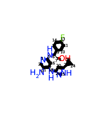 Nc1cnc(N[C@@H](CO)c2ccc(F)cc2)cc1Nc1cc(C2CC2)[nH]n1